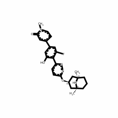 Cn1ccc(-c2cc(O)c(-c3ccc(O[C@@H]4C[C@]5(C)CCC[C@](C)(C4)N5)nn3)c(F)c2)cc1=O